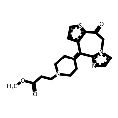 COC(=O)CCN1CCC(=C2c3ccsc3C(=O)Cn3ccnc32)CC1